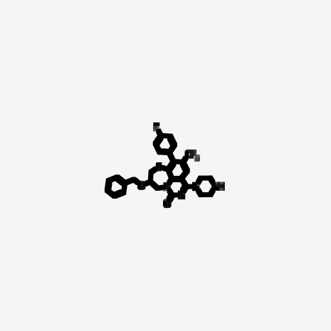 O=c1nc(N2CCNCC2)c2cc(C(F)(F)F)c(-c3ccc(F)cc3)c3c2n1CC(OCc1ccccc1)CS3